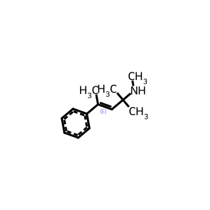 CNC(C)(C)/C=C(\C)c1ccccc1